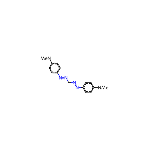 CNc1ccc(N=NCN=Nc2ccc(NC)cc2)cc1